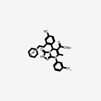 COC(=O)C1=C(C)N(c2cccc(C(F)(F)F)c2)c2n[nH]c(=O)n2C1c1ccc(C#N)cc1CC[N+]12CCC(CC1)CC2